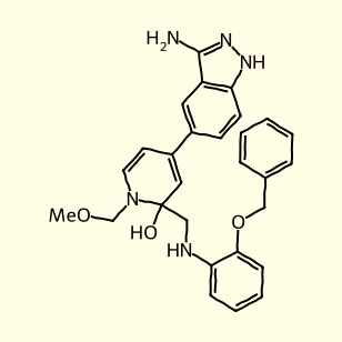 COCN1C=CC(c2ccc3[nH]nc(N)c3c2)=CC1(O)CNc1ccccc1OCc1ccccc1